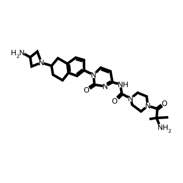 CC(C)(N)C(=O)N1CCN(C(=O)Nc2ccn(-c3ccc4c(c3)CCC(N3CC(N)C3)C4)c(=O)n2)CC1